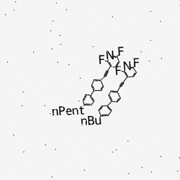 CCCCCc1ccc(-c2ccc(C#Cc3ccc(F)nc3F)cc2)cc1.CCCCc1ccc(-c2ccc(C#Cc3ccc(F)nc3F)cc2)cc1